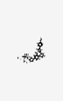 CCC(C)(C)NC[C@H]1CCN(c2ccc3c(c2)Cn2cc(-c4ccc(C#N)cc4)cc2-c2nncn2-3)C1